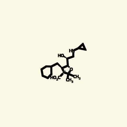 CC1(C)O[C@@H]([C@H](O)CNC2CC2)[C@H](CC2CCCCC2)N1C(=O)O